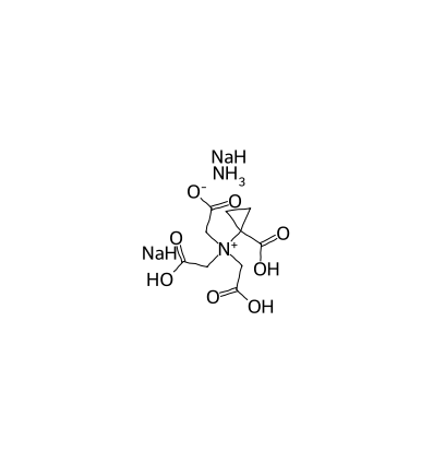 N.O=C([O-])C[N+](CC(=O)O)(CC(=O)O)C1(C(=O)O)CC1.[NaH].[NaH]